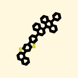 c1ccc(-c2c3ccccc3c(-c3ccc(-c4ccc5c(c4)sc4cc6c(cc45)sc4ccc5ccccc5c46)c4ccccc34)c3ccccc23)cc1